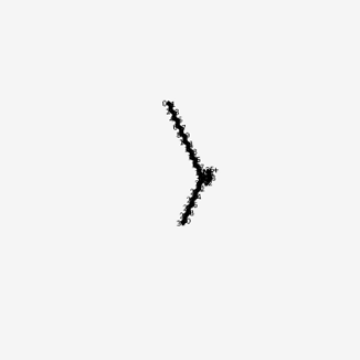 CCCCCCCCCCCCCCCCCCCc1n(CCCCCCCCCCC)cc[n+]1C